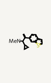 C=C(c1ccc2ccsc2c1)C(NC)C1CC1